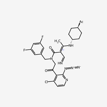 C/C(N[C@H]1CC[C@H](C(C)=O)CC1)=C(/C=N)C(=O)N(CC(=O)c1c(Cl)ccnc1N=[N+]=[N-])Cc1cc(F)cc(F)c1